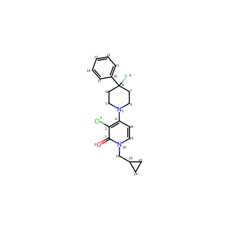 O=c1c(Cl)c(N2CCC(F)(c3ccccc3)CC2)ccn1CC1CC1